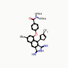 CCCCCCN(CCCCCC)C(=O)c1ccc(Oc2cc(C(C)(C)C)cc3cc4c(c(C5=CC(C(F)(F)F)=CC5)c23)C(=N)NC4=N)cc1